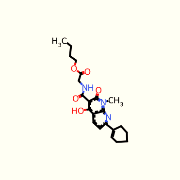 CCCCOC(=O)CNC(=O)c1c(O)c2ccc(C3=CCCCC3)nc2n(C)c1=O